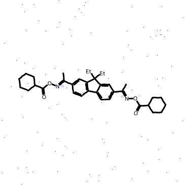 CCC1(CC)c2cc(/C(C)=N/OC(=O)C3CCCCC3)ccc2-c2ccc(/C(C)=N/OC(=O)C3CCCCC3)cc21